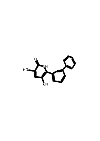 N#Cc1cc(O)c(=O)[nH]c1-c1cccc(-c2ccccc2)c1